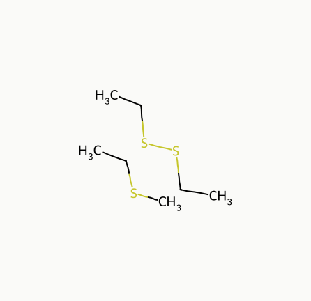 CCSC.CCSSCC